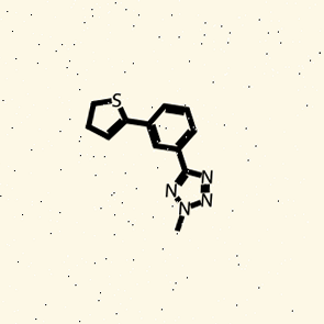 Cn1nnc(-c2cccc(C3=CCCS3)c2)n1